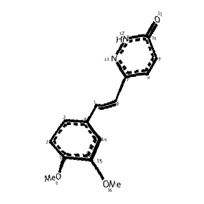 COc1ccc(C=Cc2ccc(=O)[nH]n2)cc1OC